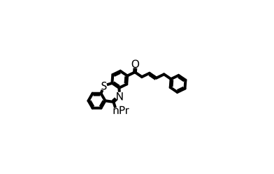 CCCC1=Nc2cc(C(=O)C/C=C/Cc3ccccc3)ccc2Sc2ccccc21